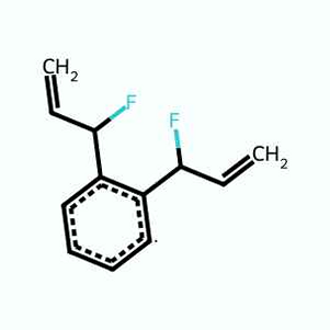 C=CC(F)c1[c]cccc1C(F)C=C